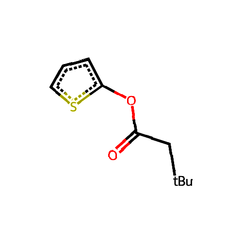 CC(C)(C)CC(=O)Oc1cccs1